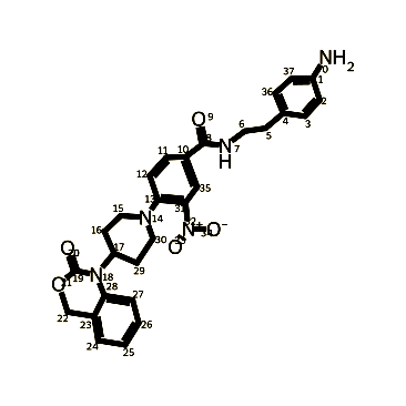 Nc1ccc(CCNC(=O)c2ccc(N3CCC(N4C(=O)OCc5ccccc54)CC3)c([N+](=O)[O-])c2)cc1